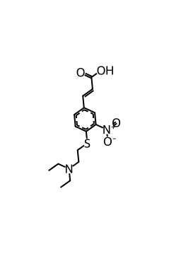 CCN(CC)CCSc1ccc(/C=C/C(=O)O)cc1[N+](=O)[O-]